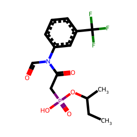 CCC(C)OP(=O)(O)CC(=O)N(C=O)c1cccc(C(F)(F)F)c1